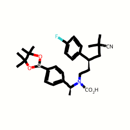 C[C@@H](c1ccc(B2OC(C)(C)C(C)(C)O2)cc1)N(CC[C@H](CC(C)(C)C#N)c1ccc(F)cc1)C(=O)O